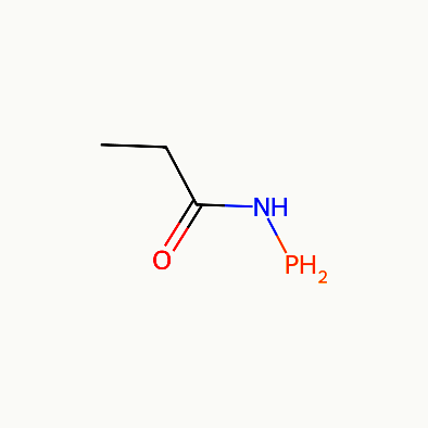 CCC(=O)NP